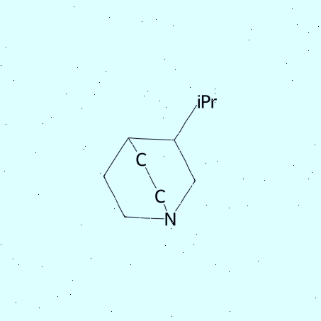 CC(C)C1CN2CCC1CC2